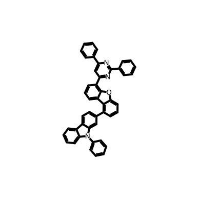 c1ccc(-c2cc(-c3cccc4c3oc3cccc(-c5ccc6c7ccccc7n(-c7ccccc7)c6c5)c34)nc(-c3ccccc3)n2)cc1